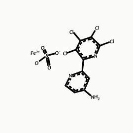 Nc1ccnc(-c2nc(Cl)c(Cl)c(Cl)c2Cl)c1.O=S(=O)([O-])[O-].[Fe+2]